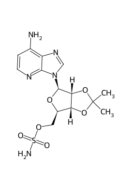 CC1(C)O[C@@H]2[C@H](O1)[C@@H](COS(N)(=O)=O)O[C@H]2n1cnc2c(N)ccnc21